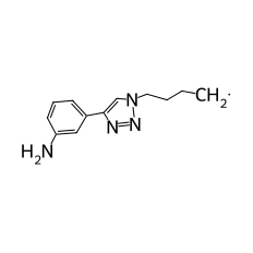 [CH2]CCCn1cc(-c2cccc(N)c2)nn1